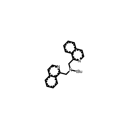 CC(C)(C)N(Cc1nccc2ccccc12)Cc1nccc2ccccc12